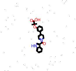 CC(C)(Oc1cccc(C2=CCN(C(=O)c3c[nH]c4ccccc34)CC2)c1)C(=O)O